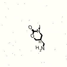 NC[C@H]1COC(=O)N(I)C1